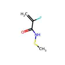 C=C(F)C(=O)NSC